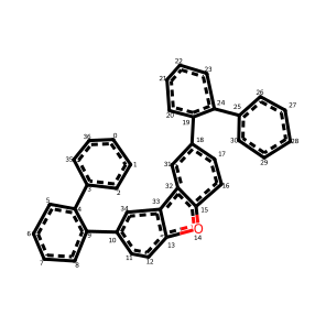 c1ccc(-c2ccccc2-c2ccc3oc4ccc(-c5ccccc5-c5ccccc5)cc4c3c2)cc1